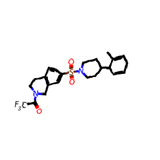 CC1=CCC=CC1C1CCN(S(=O)(=O)c2ccc3c(c2)CN(C(=O)C(F)(F)F)CC3)CC1